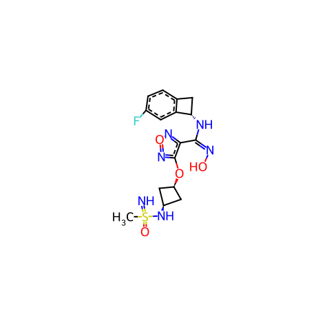 CS(=N)(=O)N[C@H]1C[C@@H](Oc2nonc2/C(=N\O)N[C@H]2Cc3ccc(F)cc32)C1